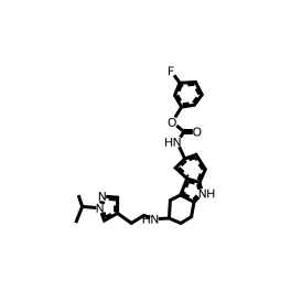 CC(C)n1cc(CCNC2CCc3[nH]c4ccc(NC(=O)Oc5cccc(F)c5)cc4c3C2)cn1